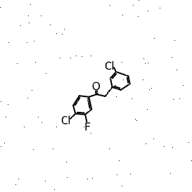 O=C(Cc1cccc(Cl)c1)c1ccc(Cl)c(F)c1